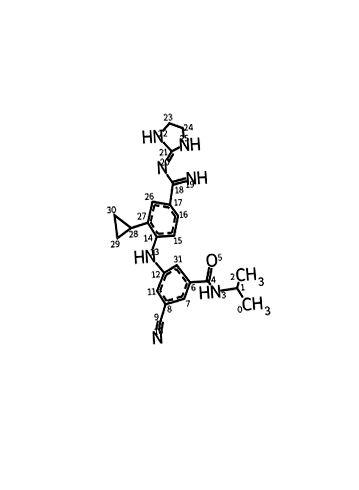 CC(C)NC(=O)c1cc(C#N)cc(Nc2ccc(C(=N)N=C3NCCN3)cc2C2CC2)c1